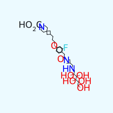 O=C(O)N1CCC2(CC1)CC(CCCOc1ccc(CC(=O)N3CC(CNC[C@H](O)[C@@H](O)[C@H](O)[C@H](O)CO)C3)c(F)c1)C2